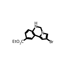 CCOC(=O)c1ccc2c(c1)-c1cc(Br)cn1CN2